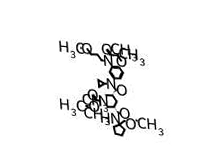 CCOCC1(NC(=O)[C@H]2C[C@@H](C(=O)N(c3ccc4c(c3)N(CCCOC)C(=O)C(C)(C)O4)C3CC3)CN(C(=O)OC(C)(C)C)C2)CCCC1